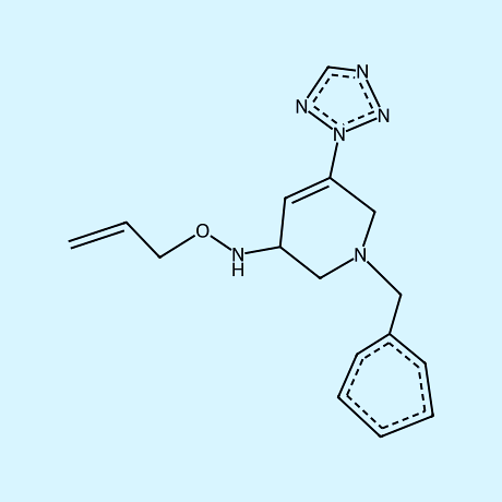 C=CCONC1C=C(n2ncnn2)CN(Cc2ccccc2)C1